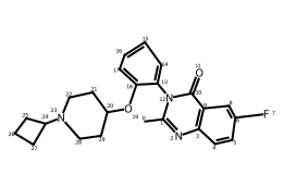 Cc1nc2ccc(F)cc2c(=O)n1-c1ccccc1OC1CCN(C2CCC2)CC1